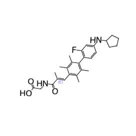 C/C(=C\c1c(C)c(C)c(-c2ccc(NC3CCCC3)cc2F)c(C)c1C)C(=O)NCC(=O)O